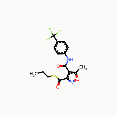 CCCSC(=O)c1noc(C)c1C(=O)Nc1ccc(C(F)(F)F)cc1